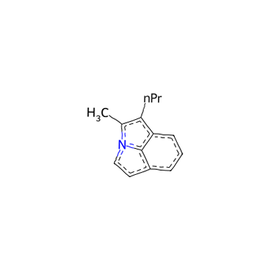 CCCc1c(C)n2ccc3cccc1c32